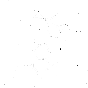 CC(OP(=O)(N1CC1)N1CC1)c1ccc([N+](=O)[O-])c(S(C)(=O)=O)c1